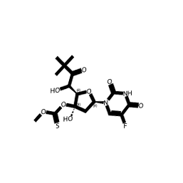 COC(=S)O[C@]1(O)C[C@H](n2cc(F)c(=O)[nH]c2=O)O[C@@H]1C(O)C(=O)C(C)(C)C